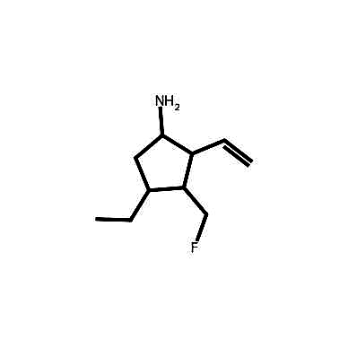 C=CC1C(N)CC(CC)C1CF